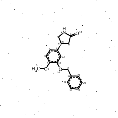 COc1ccc([C@H]2CNC(=O)C2)cc1OCc1ccccc1